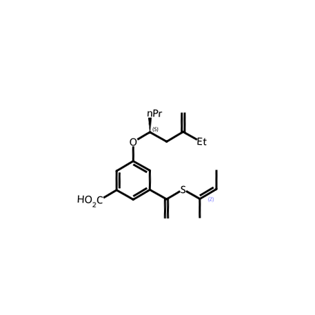 C=C(CC)C[C@H](CCC)Oc1cc(C(=C)S/C(C)=C\C)cc(C(=O)O)c1